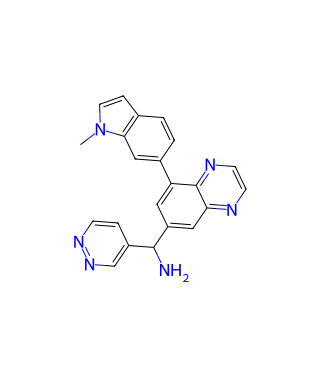 Cn1ccc2ccc(-c3cc(C(N)c4ccnnc4)cc4nccnc34)cc21